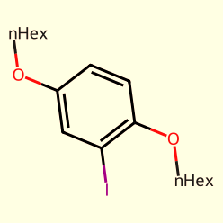 CCCCCCOc1ccc(OCCCCCC)c(I)c1